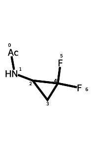 CC(=O)NC1CC1(F)F